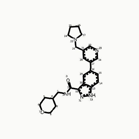 O=C(NCC1CCOCC1)c1n[nH]c2ccc(-c3cncc(CN4CCCC4)c3)cc12